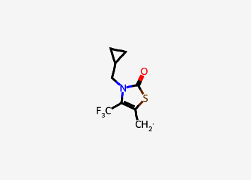 [CH2]c1sc(=O)n(CC2CC2)c1C(F)(F)F